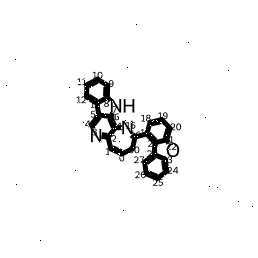 C1=Cc2ncc3c([nH]c4ccccc43)c2N=C(c2cccc3oc4ccccc4c23)C1